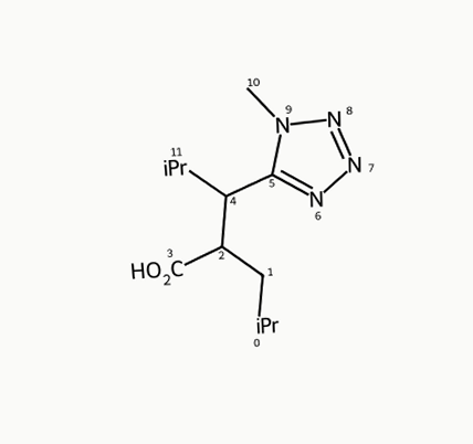 CC(C)CC(C(=O)O)C(c1nnnn1C)C(C)C